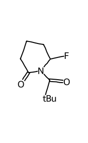 CC(C)(C)C(=O)N1C(=O)CCCC1F